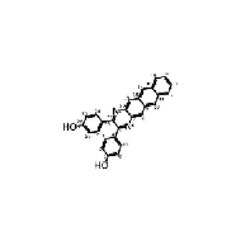 Oc1ccc(-c2nc3cc4cc5ccccc5cc4cc3nc2-c2ccc(O)cc2)cc1